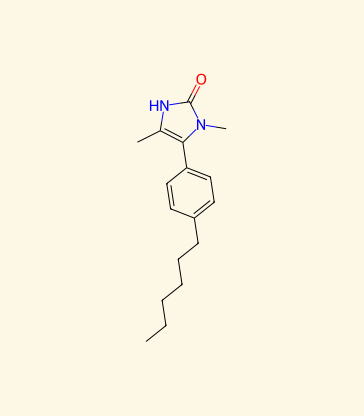 CCCCCCc1ccc(-c2c(C)[nH]c(=O)n2C)cc1